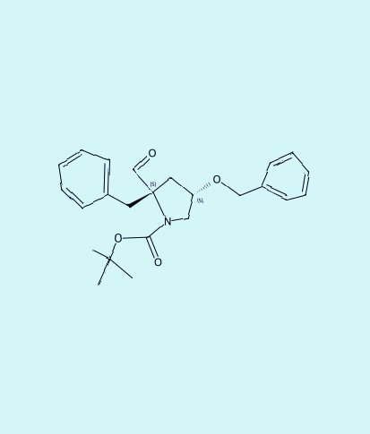 CC(C)(C)OC(=O)N1C[C@@H](OCc2ccccc2)C[C@]1(C=O)Cc1ccccc1